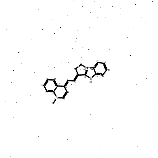 CN1C=CC(=CC=C2CC[n+]3c2sc2ccccc23)c2ccccc21